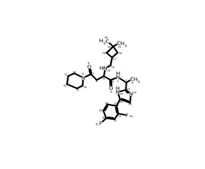 CC(NC(=O)C(CC(=O)N1CCCCC1)NCC1CC(C)(C)C1)c1ncc(-c2ccc(F)cc2F)[nH]1